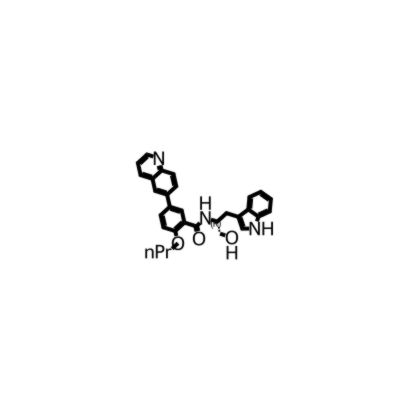 CCCOc1ccc(-c2ccc3ncccc3c2)cc1C(=O)N[C@@H](CO)Cc1c[nH]c2ccccc12